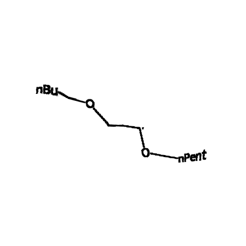 CCCCCO[CH]COCCCC